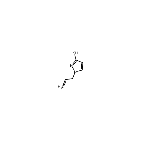 C=CCn1ccc(S)n1